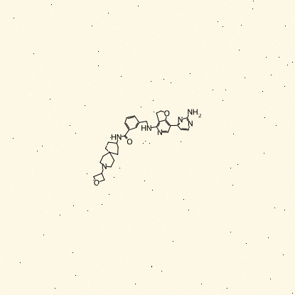 Nc1nccc(-c2cnc(NCc3cccc(C(=O)NC4CCC5(CC4)CCN(C4COC4)CC5)c3)c3c2OCC3)n1